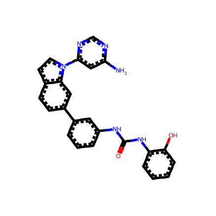 Nc1cc(-n2ccc3ccc(-c4cccc(NC(=O)Nc5ccccc5O)c4)cc32)ncn1